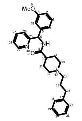 COc1cccc(C(NC(=O)C2CCN(CCCc3ccccc3)CC2)c2ccccn2)c1